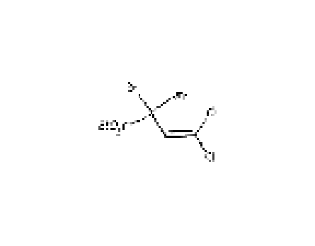 CCOC(=O)C(Br)(C=C(Cl)Cl)C(C)C